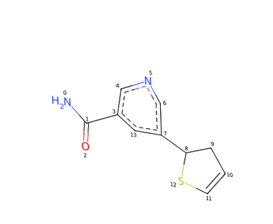 NC(=O)c1cncc(C2CC=CS2)c1